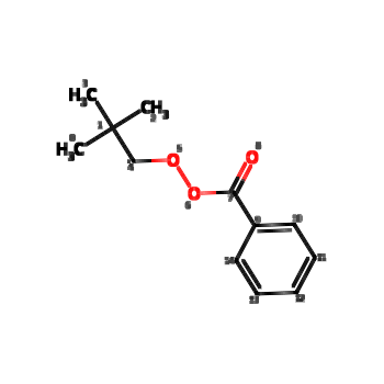 CC(C)(C)[CH]OOC(=O)c1ccccc1